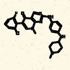 CN1CCC(Nc2ccc(Nc3ncc4c(=O)c(-c5c(F)cccc5Cl)cn(C)c4n3)cc2)CC1